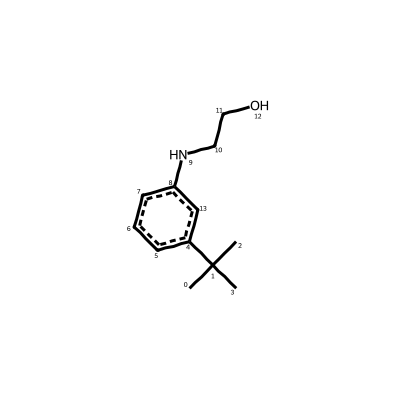 CC(C)(C)c1cccc(NCCO)c1